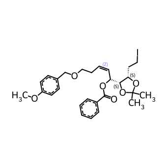 COc1ccc(COCC/C=C\C(OC(=O)c2ccccc2)[C@H]2OC(C)(C)O[C@H]2CCI)cc1